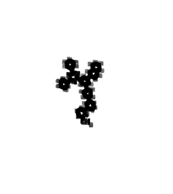 Cc1cccc(-c2cccc(-c3ccc(-c4cc(-c5ccc6ccccc6c5)cc(-c5nc(-c6ccccc6)nc(-c6ccccc6)n5)c4)cc3)c2)n1